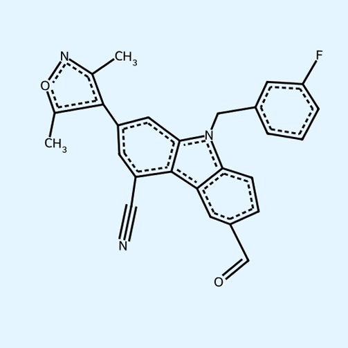 Cc1noc(C)c1-c1cc(C#N)c2c3cc(C=O)ccc3n(Cc3cccc(F)c3)c2c1